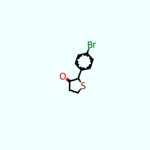 O=C1CCSC1c1ccc(Br)cc1